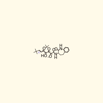 CO[C@@H](C(=O)NC1CCc2ccccc2NC1=O)[C@@H]1OC(C)(C)O[C@H](/C=C/C(C)(C)C)[C@@H]1O